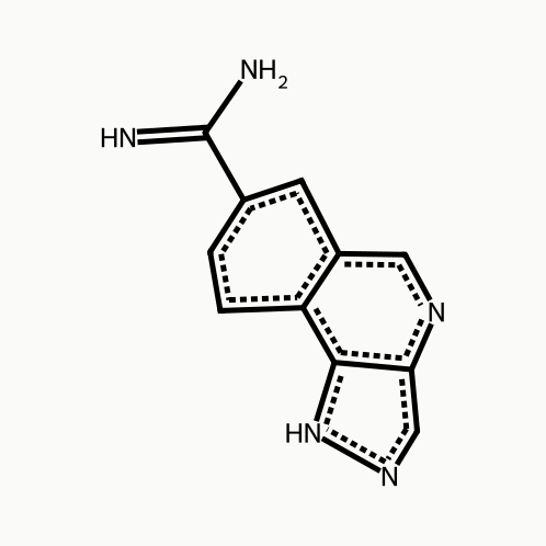 N=C(N)c1ccc2c(cnc3cn[nH]c32)c1